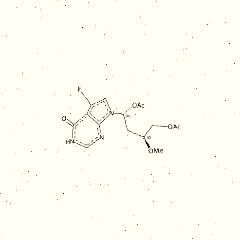 CO[C@H](COC(C)=O)C[C@@H](OC(C)=O)n1cc(F)c2c(=O)[nH]cnc21